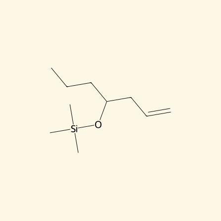 C=CCC(CCC)O[Si](C)(C)C